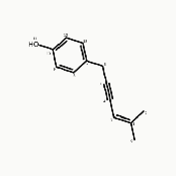 CC(C)=CC#CCc1ccc(O)cc1